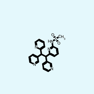 CS(=O)(=O)Nc1cccc(C(c2cccnc2)C(c2cccnc2)c2ccccn2)n1